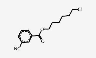 N#Cc1cccc(C(=O)OCCCCCCCl)c1